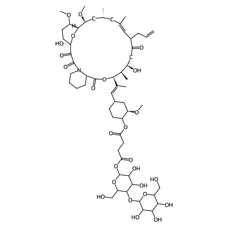 C=CCC1/C=C(\C)C[C@@H](C)C[C@H](OC)[C@H]2O[C@@](O)(C(=O)C(=O)N3CCCCC3C(=O)O[C@H](/C(C)=C/C3CCC(OC(=O)CCC(=O)OC4OC(CO)C(OC5OC(CO)C(O)C(O)C5O)C(O)C4O)[C@H](OC)C3)[C@H](C)[C@H](O)CC1=O)[C@H](C)CC2OC